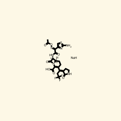 CC(=O)ON=C(C(=O)N[C@@H]1C(=O)N2C(C(=O)O)=C(C(CC(F)(F)F)=C3CCNC3=O)CC[C@H]12)c1csc(N)n1.[NaH]